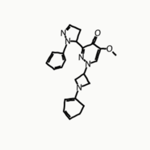 COc1cn(C2CN(C3=CC=CCC3)C2)nc(C2CC=NN2c2ccccc2)c1=O